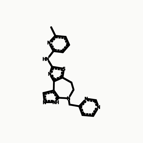 Cc1cccc(Nc2nc3c(s2)CCN(Cc2ccncn2)c2[nH]ncc2-3)n1